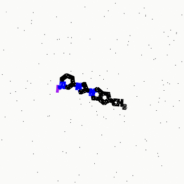 CC1CC2CN(C3CN(C4CCCN(I)C4)C3)CC2C1